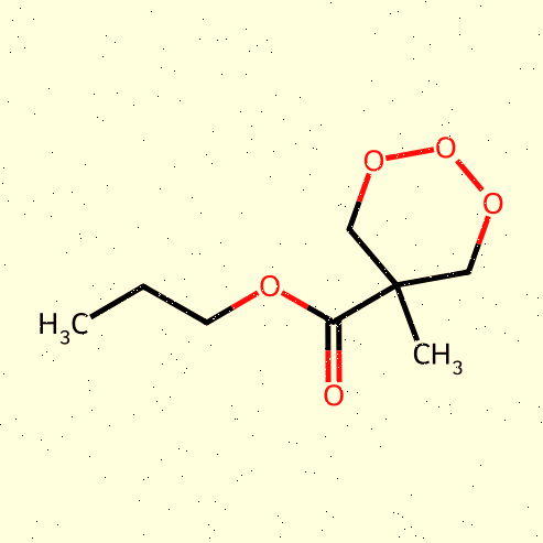 CCCOC(=O)C1(C)COOOC1